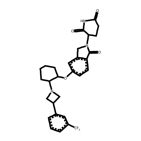 O=C1CCC(N2Cc3cc(OC4CCCCC4N4CC(c5cccc(C(F)(F)F)c5)C4)ccc3C2=O)C(=O)N1